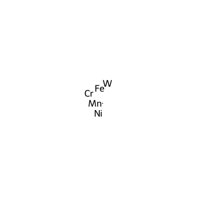 [Cr].[Fe].[Mn].[Ni].[W]